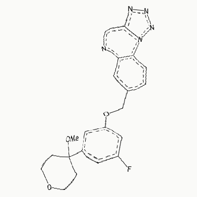 COC1(c2cc(F)cc(OCc3ccc4c(c3)ncc3nnnn34)c2)CCOCC1